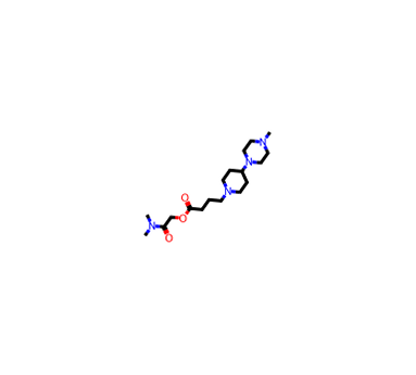 CN1CCN(C2CCN(CCCC(=O)OCC(=O)N(C)C)CC2)CC1